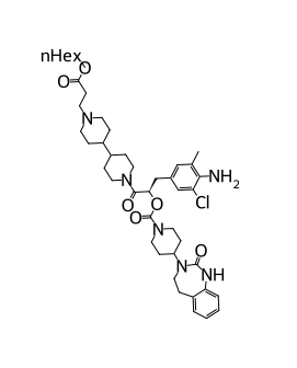 CCCCCCOC(=O)CCN1CCC(C2CCN(C(=O)[C@@H](Cc3cc(C)c(N)c(Cl)c3)OC(=O)N3CCC(N4CCc5ccccc5NC4=O)CC3)CC2)CC1